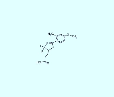 COc1ccc(NCC(CCC(=O)O)C(F)(F)F)c(C)c1